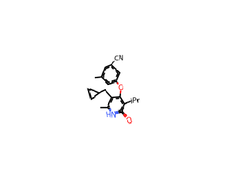 Cc1cc(C#N)cc(Oc2c(CC3CC3)c(C)[nH]c(=O)c2C(C)C)c1